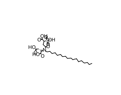 CCCCCCCCCCCCCCCCCCN(C(=O)CC(C(=O)O)S(=O)(=O)O)[C@@H](CC(=O)O)C(=O)O